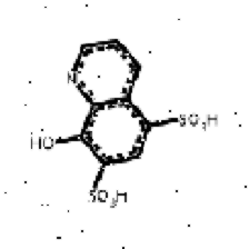 O=S(=O)(O)c1cc(S(=O)(=O)O)c2cccnc2c1O